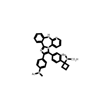 CC(=O)N(C)c1ccc(-c2nc3n(c2-c2ccc(C4(N(C(=O)O)C(C)(C)C)CCC4)cc2)-c2cccnc2Nc2ccccc2-3)cc1